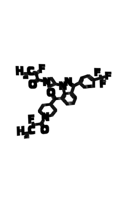 C=C(F)C(=O)N1CCC(C(=O)c2cccc3c(-c4ccc(C(F)(F)F)cc4)nn(C4CN(C(=O)C(=C)F)C4)c23)CC1